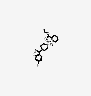 CCOC(=O)C1CCCCN1S(=O)(=O)N1CCC(c2noc3cc(F)ccc23)CC1